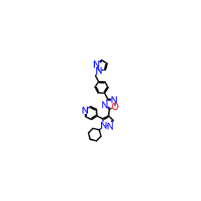 c1cnn(Cc2ccc(-c3noc(-c4cnn(C5CCCCC5)c4-c4ccncc4)n3)cc2)c1